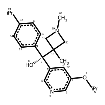 CC(C)Oc1cncc([C@@](O)(c2ccc(C(C)C)cc2)C2(C)CN(C)C2)c1